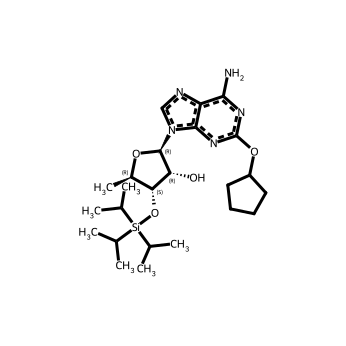 CC(C)[Si](O[C@H]1[C@@H](O)[C@H](n2cnc3c(N)nc(OC4CCCC4)nc32)O[C@@H]1C)(C(C)C)C(C)C